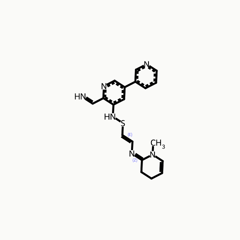 CN1C=CCC/C1=N/C=C/SNc1cc(-c2cccnc2)cnc1C=N